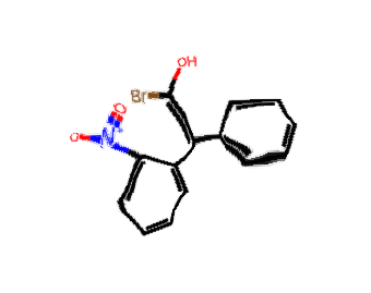 O=[N+]([O-])c1ccccc1C(=C(O)Br)c1ccccc1